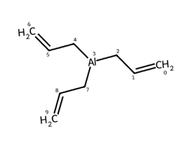 C=C[CH2][Al]([CH2]C=C)[CH2]C=C